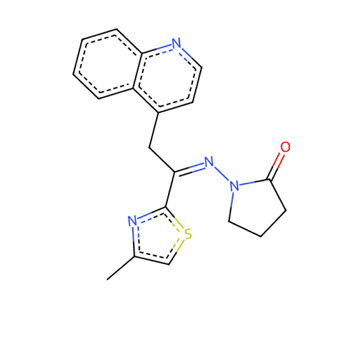 Cc1csc(C(Cc2ccnc3ccccc23)=NN2CCCC2=O)n1